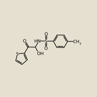 Cc1ccc(S(=O)(=O)NC(O)C(=O)c2cccs2)cc1